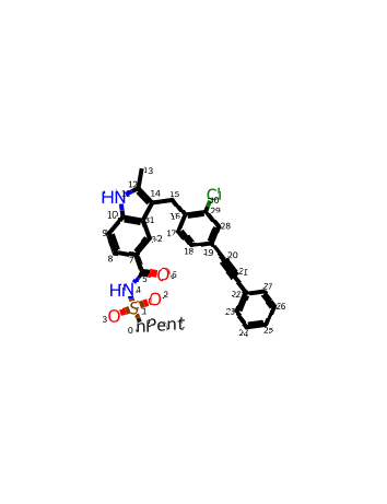 CCCCCS(=O)(=O)NC(=O)c1ccc2[nH]c(C)c(Cc3ccc(C#Cc4ccccc4)cc3Cl)c2c1